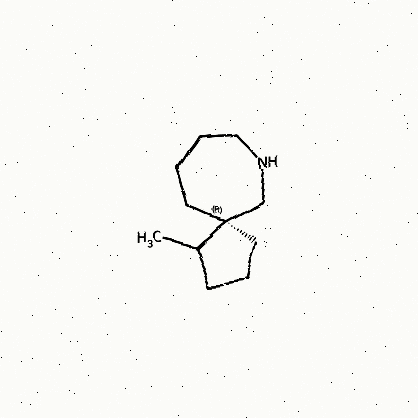 CC1CCC[C@@]12CCCCNC2